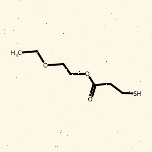 CCOCCOC(=O)CCS